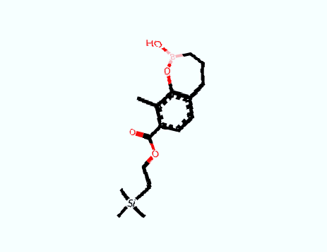 Cc1c(C(=O)OCC[Si](C)(C)C)ccc2c1OB(O)CCC2